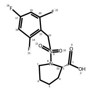 O=C(O)[C@@H]1CCCCN1S(=O)(=O)Cc1c(F)cc(F)cc1F